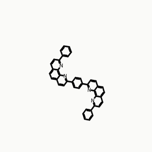 c1ccc(-c2ccc3ccc4ccc(-c5ccc(-c6ccc7ccc8ccc(-c9ccccc9)nc8c7n6)cc5)nc4c3n2)cc1